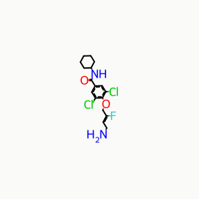 NCC=C(F)COc1c(Cl)cc(C(=O)NC2CCCCC2)cc1Cl